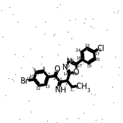 CCC(C(=N)C(=O)c1ccc(Br)cc1)c1nnc(-c2ccc(Cl)cc2)o1